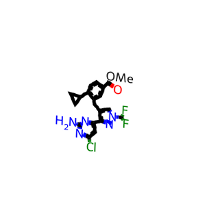 COC(=O)c1ccc(C2CC2)c(Cc2cn(C(F)F)nc2-c2cc(Cl)nc(N)n2)c1